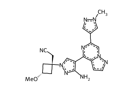 CO[C@H]1C[C@@](CC#N)(n2cc(-c3nc(-c4cnn(C)c4)cn4nccc34)c(N)n2)C1